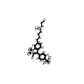 CCCNCCCCc1ccc2c(c1)S(=O)(=O)C(C)=C2c1ccc(C(F)(F)F)cc1